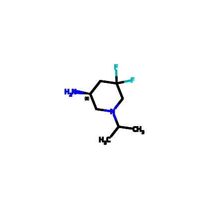 CC(C)N1C[C@@H](N)CC(F)(F)C1